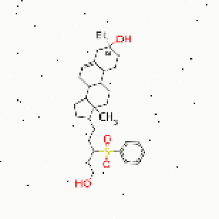 CC[C@]1(O)CCC2C(=CCC3C2CCC2(C)C(CCC(CCO)S(=O)(=O)c4ccccc4)CCC32)C1